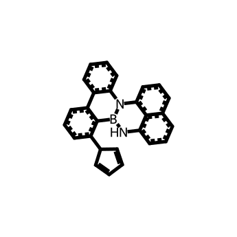 C1=CC(c2cccc3c2B2Nc4cccc5cccc(c45)N2c2ccccc2-3)C=C1